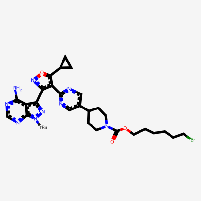 CC(C)(C)n1nc(-c2noc(C3CC3)c2-c2ncc(C3CCN(C(=O)OCCCCCCBr)CC3)cn2)c2c(N)ncnc21